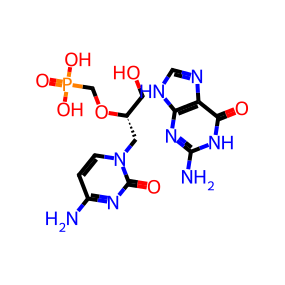 Nc1ccn(C[C@@H](CO)OCP(=O)(O)O)c(=O)n1.Nc1nc2[nH]cnc2c(=O)[nH]1